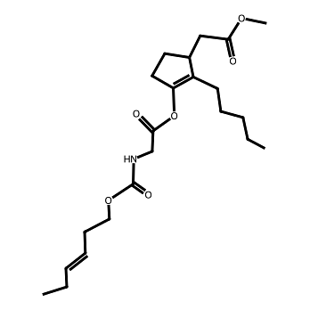 CCC=CCCOC(=O)NCC(=O)OC1=C(CCCCC)C(CC(=O)OC)CC1